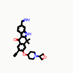 C#Cc1cc2c(cc1OC1CCN(C3COC3)CC1)C(C)(C)c1[nH]c3cc(C=N)ccc3c1C2=O